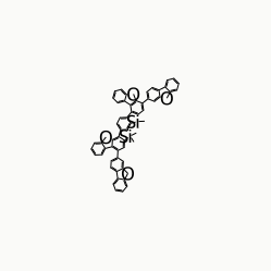 C[Si]1(C)c2cc(-c3ccc4c(c3)oc3ccccc34)c3c(oc4ccccc43)c2-c2ccc3c(c21)[Si](C)(C)c1cc(-c2ccc4c(c2)oc2ccccc24)c2oc4ccccc4c2c1-3